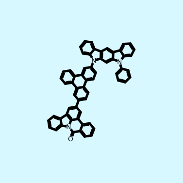 O=c1c2ccccc2c2cc(-c3ccc4c5ccc(-n6c7ccccc7c7cc8c9ccccc9n(-c9ccccc9)c8cc76)cc5c5ccccc5c4c3)cc3c4ccccc4n1c23